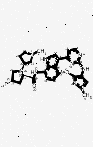 COc1nn(C)cc1Nc1nccc(-c2c[nH]c3c(NC(=O)[C@H]4C[C@H](F)CN4[C@H]4CCN(C)C4)cccc23)n1